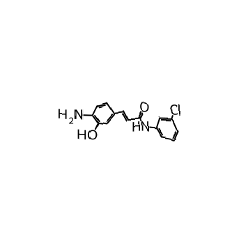 Nc1ccc(C=CC(=O)Nc2cccc(Cl)c2)cc1O